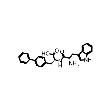 N[C@@H](Cc1c[nH]c2ccccc12)C(=O)N[C@@H](Cc1ccc(-c2ccccc2)cc1)C(=O)O